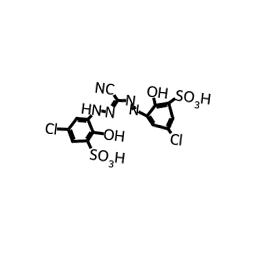 N#CC(N=Nc1cc(Cl)cc(S(=O)(=O)O)c1O)=NNc1cc(Cl)cc(S(=O)(=O)O)c1O